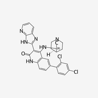 O=c1[nH]c2ccc(-c3ccc(Cl)cc3Cl)cc2c(N[C@H]2CN3CCC2CC3)c1-c1nc2cccnc2[nH]1